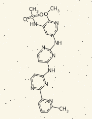 COc1ncc(Nc2nccc(Nc3ccnc(-c4cccc(C)n4)n3)n2)cc1NS(C)(=O)=O